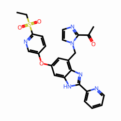 CCS(=O)(=O)c1ccc(Oc2cc(Cn3ccnc3C(C)=O)c3nc(-c4ccccn4)[nH]c3c2)cn1